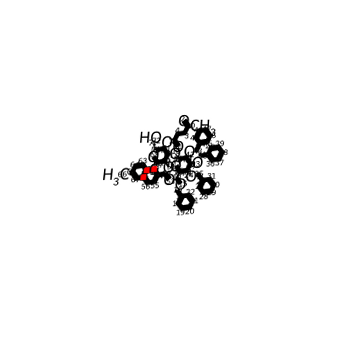 CC(=O)CCC(=O)O[C@@H]1[C@H](O[C@H]2O[C@H](COCc3ccccc3)[C@@H](OCc3ccccc3)[C@H](OCc3ccccc3)[C@H]2OCc2ccccc2)[C@@H](OC(=O)c2ccccc2)[C@H](Sc2ccc(C)cc2)O[C@@H]1CO